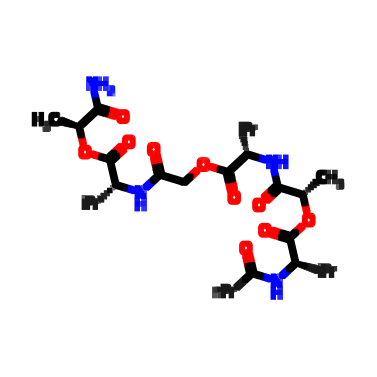 CCCC(=O)N[C@@H](C(=O)O[C@@H](C)C(=O)N[C@H](C(=O)OCC(=O)N[C@@H](C(=O)O[C@@H](C)C(N)=O)C(C)C)C(C)C)C(C)C